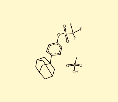 CS(=O)(=O)O.O=S(=O)(Oc1ccc(C23CC4CC(CC(C4)C2)C3)cc1)C(F)(F)F